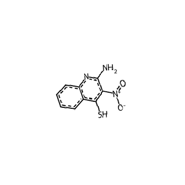 Nc1nc2ccccc2c(S)c1[N+](=O)[O-]